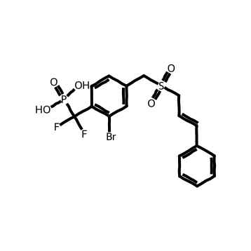 O=P(O)(O)C(F)(F)c1ccc(CS(=O)(=O)CC=Cc2ccccc2)cc1Br